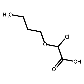 CCCCOC(Cl)C(=O)O